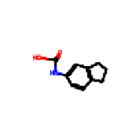 O=C(O)Nc1ccc2c(c1)CCC2